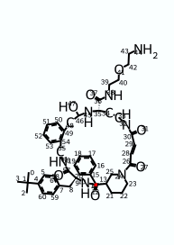 CC(C)(C)c1ccc(C[C@@H]2NC(=O)[C@]3(Cc4ccccc4)CCCN(C3)C(=O)/C=C/C(=O)NCC[C@@H](C(=O)NCCOCCN)NC(O)Cc3ccccc3CNC2=O)cc1